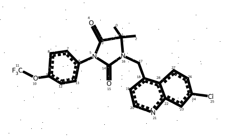 CC1(C)C(=O)N(c2ccc(OC(F)(F)F)cc2)C(=O)N1Cc1ccnc2cc(Cl)ccc12